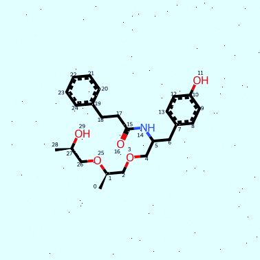 C[C@H](COCC(Cc1ccc(O)cc1)NC(=O)CCc1ccccc1)OC[C@@H](C)O